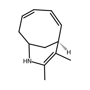 CC1=C(C)[C@@H]2/C=C\C=C/CC(C2)N1